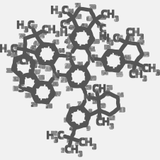 CC(C)(C)c1ccc2c(c1)C1(C)CCCCC1(C)N2c1cc2c3c(c1)N(c1cccc4sc5ccccc5c14)c1cc4c(cc1B3c1cc3c(cc1N2c1ccc2c(c1)C(C)(C)CCC2(C)C)C(C)(C)CCC3(C)C)C(C)(C)CC4(C)C